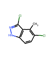 Cc1c(Cl)ccc2[nH]nc(Cl)c12